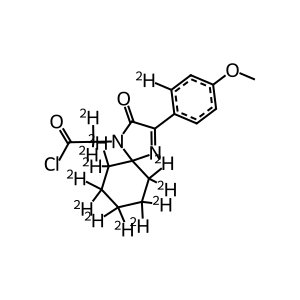 [2H]c1cc(OC)ccc1C1=NC2(N(C([2H])([2H])C(=O)Cl)C1=O)C([2H])([2H])C([2H])([2H])C([2H])([2H])C([2H])([2H])C2([2H])[2H]